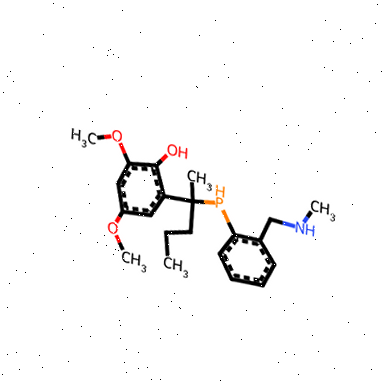 CCCC(C)(Pc1ccccc1CNC)c1cc(OC)cc(OC)c1O